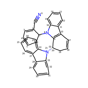 N#CC1=CC=CCC1n1c2c(c3ccccc31)C=CC[C@@H]2n1c2ccccc2c2ccccc21